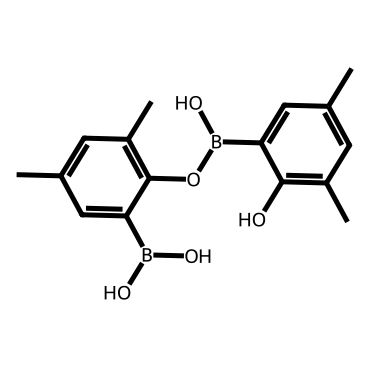 Cc1cc(C)c(O)c(B(O)Oc2c(C)cc(C)cc2B(O)O)c1